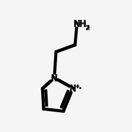 NCCN1C=CC=[N+]1